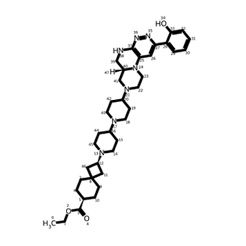 CCOC(=O)[C@H]1CCC2(CC1)C[C@H](N1CCC(N3CCC(N4CCN5c6cc(-c7ccccc7O)nnc6NC[C@H]5C4)CC3)CC1)C2